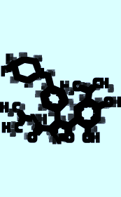 CC(C)NC(=O)c1noc(-c2cc(C(C)C)c(O)cc2O)c1-c1ccc(CN2CCC(F)(F)CC2)cc1